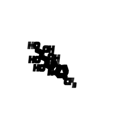 OCC(O)[C@@H](O)[C@H](O)C(O)c1nc2cc(C(F)(F)F)ccc2[nH]1